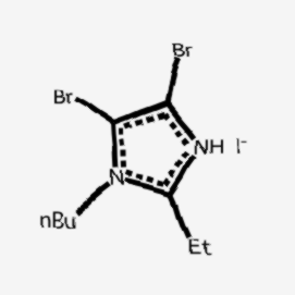 CCCC[n+]1c(CC)[nH]c(Br)c1Br.[I-]